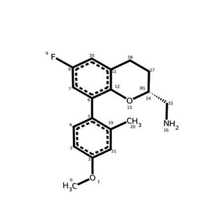 COc1ccc(-c2cc(F)cc3c2O[C@@H](CN)CC3)c(C)c1